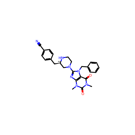 Cn1c(=O)c2c(nc(N3CCN[C@H](Cc4ccc(C#N)cc4)C3)n2Cc2ccccc2)n(C)c1=O